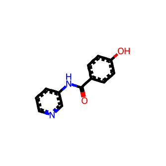 O=C(Nc1cccnc1)c1ccc(O)cc1